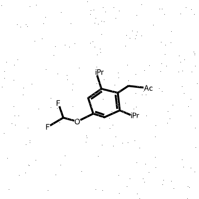 CC(=O)Cc1c(C(C)C)cc(OC(F)F)cc1C(C)C